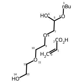 C=CC(=O)O.CCCCOC(O)COCCOCCO